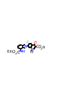 CCOC(=O)NC1CC=CC2CN(c3cc4c(cc3F)c(=O)c(C(=O)O)cn4CC)CC21